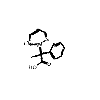 CC(C(=O)O)(c1ccccc1)N1N=CC=CN1